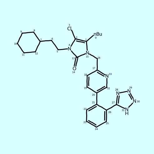 CCCCc1c(Cl)n(CCC2CCCCC2)c(=O)n1Cc1ccc(-c2ccccc2-c2nnn[nH]2)cn1